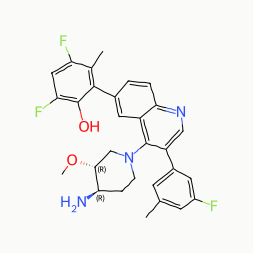 CO[C@@H]1CN(c2c(-c3cc(C)cc(F)c3)cnc3ccc(-c4c(C)c(F)cc(F)c4O)cc23)CC[C@H]1N